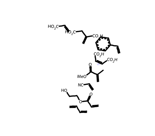 C=C(C)C(=O)OC.C=C(CC(=O)O)C(=O)O.C=CC#N.C=CC(=O)O.C=CC(=O)OCCO.C=CC=C.C=Cc1ccccc1.O=C(O)/C=C\C(=O)O